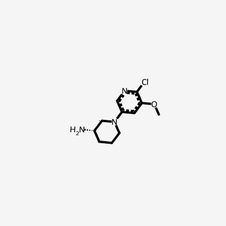 COc1cc(N2[CH][C@@H](N)CCC2)cnc1Cl